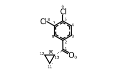 O=C(c1ccc(Cl)c(Cl)c1)[C@@H]1[CH]C1